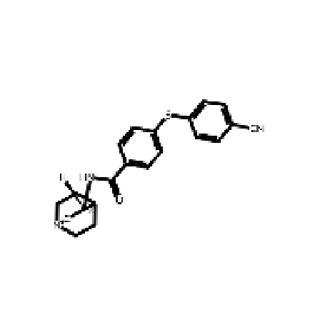 N#Cc1ccc(Sc2ccc(C(=O)N[C@H]3CN4CCC3CC4)cc2)cc1